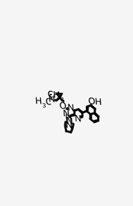 CN(C)CC1(COc2nc(N3CC4CCC(C3)N4)c3ncc(-c4cc(O)cc5ccccc45)cc3n2)CC1